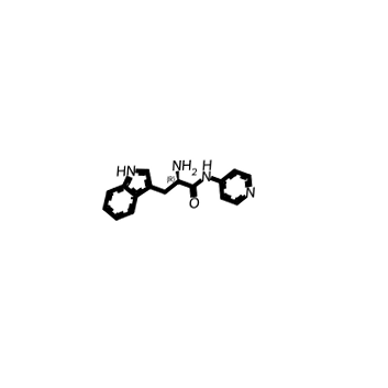 N[C@H](Cc1c[nH]c2ccccc12)C(=O)Nc1ccncc1